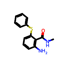 CNC(=O)c1c(N)cccc1Sc1ccccc1